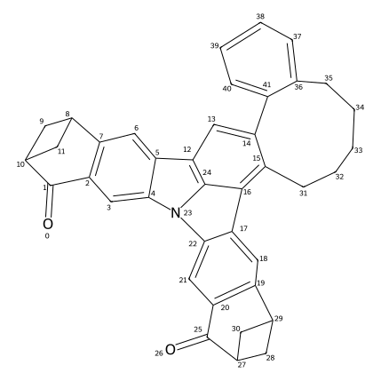 O=C1c2cc3c(cc2C2CC1C2)c1cc2c(c4c5cc6c(cc5n3c14)C(=O)C1CC6C1)CCCCCc1ccccc1-2